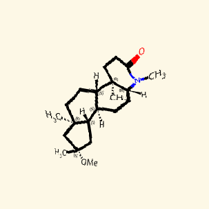 CO[C@@]1(C)C[C@H]2[C@@H]3CC[C@H]4N(C)C(=O)CC[C@]4(C)[C@H]3CC[C@]2(C)C1